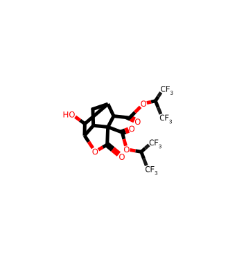 O=C(OC(C(F)(F)F)C(F)(F)F)C1C2CC3C(OC(=O)C31C(=O)OC(C(F)(F)F)C(F)(F)F)C2O